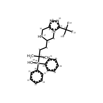 CC(C)(CCC1Cn2c(nnc2C(F)(F)F)CN1)[Si](O)(c1ccccc1)c1ccccc1